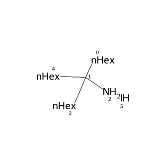 CCCCCCC(N)(CCCCCC)CCCCCC.I